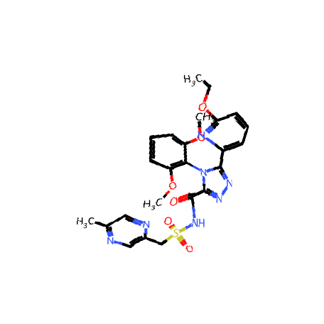 CCOc1cccc(-c2nnc(C(=O)NS(=O)(=O)Cc3cnc(C)cn3)n2-c2c(OC)cccc2OC)n1